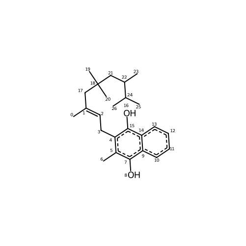 C/C(=C\Cc1c(C)c(O)c2ccccc2c1O)CC(C)(C)CC(C)C(C)C